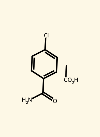 CC(=O)O.NC(=O)c1ccc(Cl)cc1